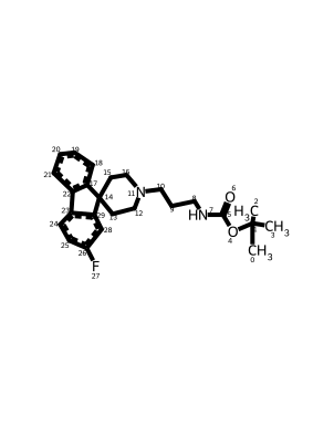 CC(C)(C)OC(=O)NCCCN1CCC2(CC1)c1ccccc1-c1ccc(F)cc12